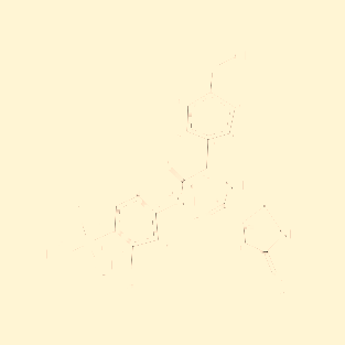 COc1ccc([C@H](NC(=O)[C@@H]2CNC(=O)C2)C(=O)Nc2ccc(S(C)(C)C)c(F)c2)cc1